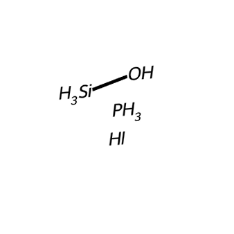 I.O[SiH3].P